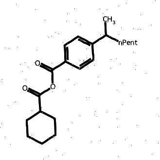 CCCCCC(C)c1ccc(C(=O)OC(=O)C2CCCCC2)cc1